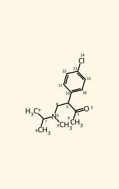 CC(=O)C(CN(C)C(C)C)c1ccc(Cl)cc1